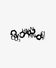 CN1CCCCC1C(=O)N1CC=C(c2cc3c(Nc4ccc(F)c(Cl)c4)ccnc3[nH]2)CC1